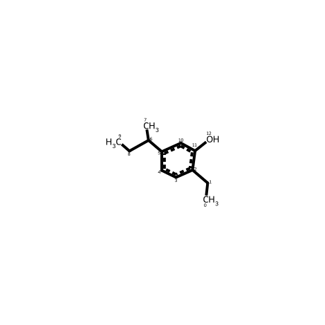 CCc1ccc(C(C)CC)cc1O